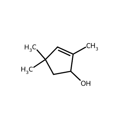 CC1=CC(C)(C)CC1O